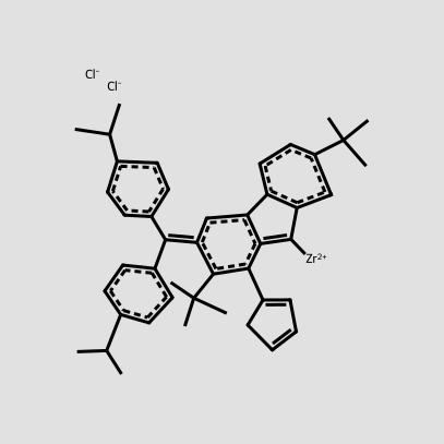 CC(C)c1ccc(C(c2ccc(C(C)C)cc2)=c2cc3c(c(C4=CC=CC4)c2C(C)(C)C)=[C]([Zr+2])c2cc(C(C)(C)C)ccc2-3)cc1.[Cl-].[Cl-]